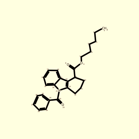 CCCCCCOC(=O)C1CCCc2c1c1ccccc1n2C(=O)c1ccccc1